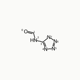 O=CNC1=NN=N[N]1